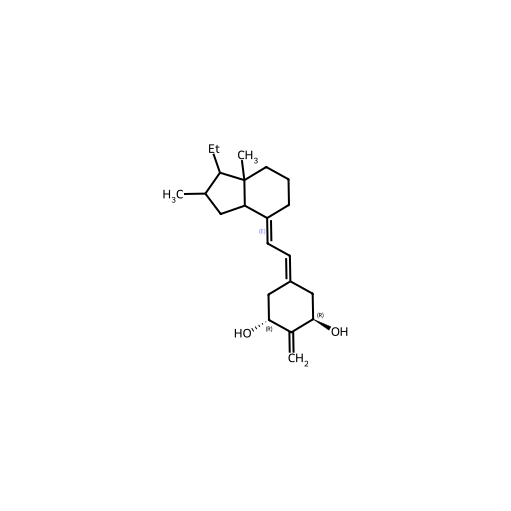 C=C1[C@H](O)CC(=C/C=C2\CCCC3(C)C2CC(C)C3CC)C[C@H]1O